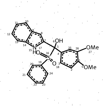 COc1ccc(C(O)(c2cc3ccccc3[nH]2)S(=O)(=O)c2ccccc2)cc1OC